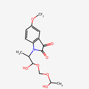 CC(O)OCOC(O)C(C)N1C(=O)C(=O)c2cc(OC(F)(F)F)ccc21